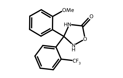 COc1ccccc1C1(c2ccccc2C(F)(F)F)NOC(=O)N1